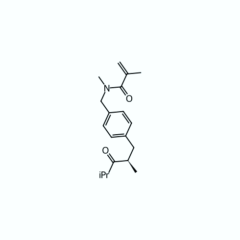 C=C(C)C(=O)N(C)Cc1ccc(C[C@@H](C)C(=O)C(C)C)cc1